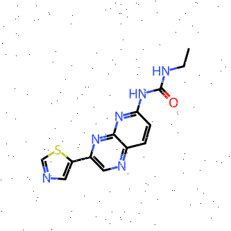 CCNC(=O)Nc1ccc2ncc(-c3cncs3)nc2n1